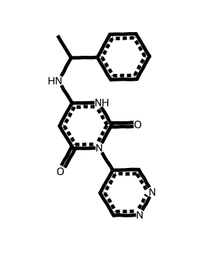 CC(Nc1cc(=O)n(-c2ccnnc2)c(=O)[nH]1)c1ccccc1